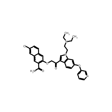 CCN(CC)CCn1cc(C(=O)COc2cc3ccc(Cl)cc3cc2C(N)=O)c2ccc(Oc3cccnc3)cc21